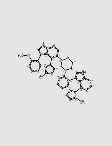 COc1ccccc1-c1c[nH]c2ncc(C3CN(c4ncccc4-c4c[nH]c5nccc(-c6sccc6C)c45)CCO3)c(-c3ccc(Cl)s3)c12